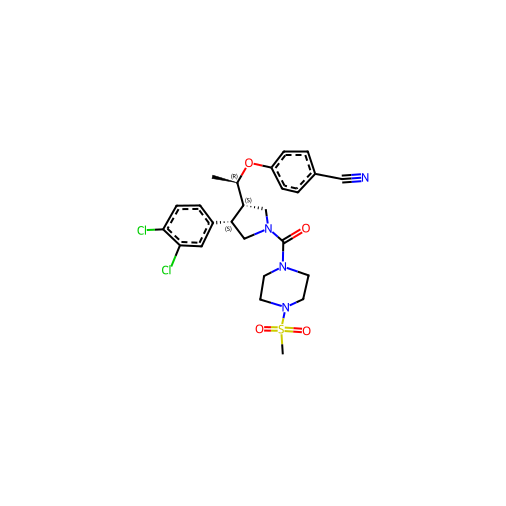 C[C@@H](Oc1ccc(C#N)cc1)[C@@H]1CN(C(=O)N2CCN(S(C)(=O)=O)CC2)C[C@@H]1c1ccc(Cl)c(Cl)c1